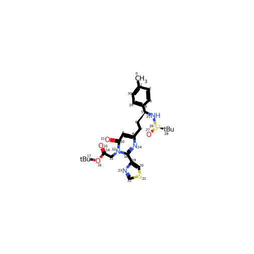 Cc1ccc([C@H](CCc2cc(=O)n(CC(=O)OC(C)(C)C)c(-c3cscn3)n2)N[S@+]([O-])C(C)(C)C)cc1